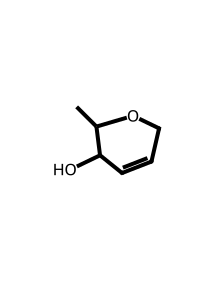 CC1OCC=CC1O